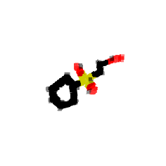 O=S(=O)(CCO)c1c[c]ccc1